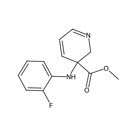 COC(=O)C1(Nc2ccccc2F)C=CC=NC1